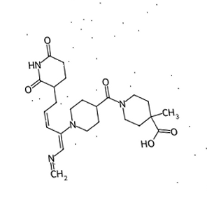 C=N/C=C(\C=C/CC1CCC(=O)NC1=O)N1CCC(C(=O)N2CCC(C)(C(=O)O)CC2)CC1